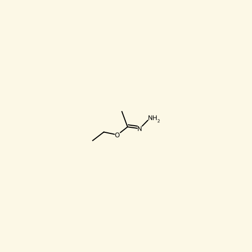 CCO/C(C)=N/N